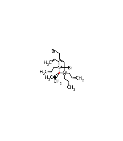 C=CC[N+](CC=C)(CC=C)C(Br)(C=CCBr)[N+](CC=C)(CC=C)CC=C